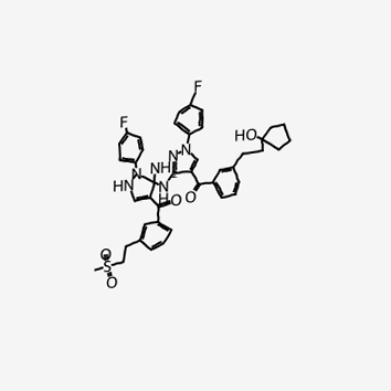 CS(=O)(=O)CCc1cccc(C(=O)C2=CNN(c3ccc(F)cc3)C2(N)Nc2nn(-c3ccc(F)cc3)cc2C(=O)c2cccc(CCC3(O)CCCC3)c2)c1